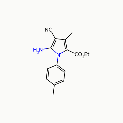 CCOC(=O)c1c(C)c(C#N)c(N)n1-c1ccc(C)cc1